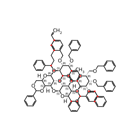 C=CCCCCCCO[C@@H]1O[C@@H]2COC(c3ccccc3)O[C@@H]2[C@H](O[C@@H]2O[C@@H]3COC(c4ccccc4)O[C@@H]3[C@H](O[C@H]3O[C@H](COCc4ccccc4)[C@H](OCc4ccccc4)[C@H](OCc4ccccc4)[C@H]3OCc3ccccc3)[C@H]2O[C@@H]2O[C@@H](C)[C@@H](OCc3ccccc3)[C@@H](OCc3ccccc3)[C@@H]2OCc2ccccc2)[C@H]1OCc1ccccc1